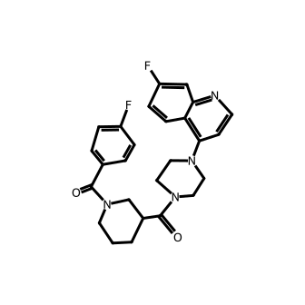 O=C(c1ccc(F)cc1)N1CCCC(C(=O)N2CCN(c3ccnc4cc(F)ccc34)CC2)C1